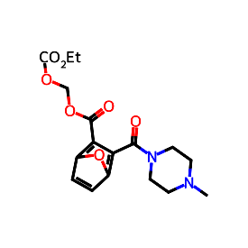 CCOC(=O)OCOC(=O)c1c(C(=O)N2CCN(C)CC2)c2ccc1o2